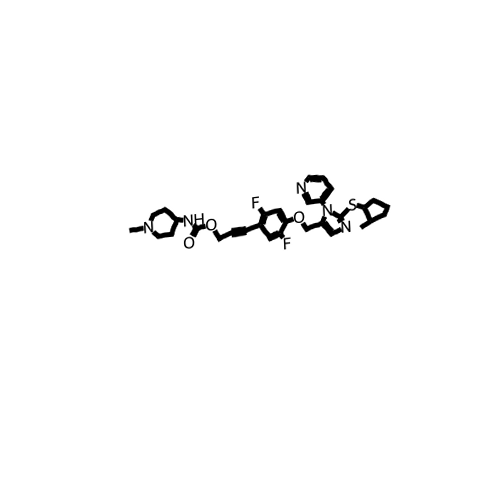 CC1CCCC1Sc1ncc(COc2cc(F)c(C#CCOC(=O)NC3CCN(C)CC3)cc2F)n1-c1cccnc1